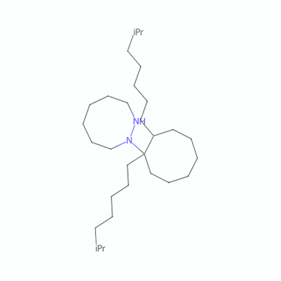 CC(C)CCCCCC1CCCCCCC1(CCCCCC(C)C)N1CCCCCCN1